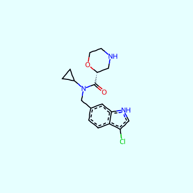 O=C([C@H]1CNCCO1)N(Cc1ccc2c(Cl)c[nH]c2c1)C1CC1